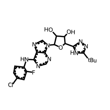 CC(C)(C)c1nnc(C2OC(n3cnc4c(Nc5ccc(Cl)cc5F)ncnc43)C(O)C2O)[nH]1